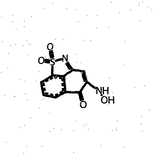 O=C1C(NO)=CC2=NS(=O)(=O)c3cccc1c32